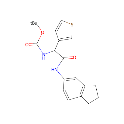 CC(C)(C)OC(=O)NC(C(=O)Nc1ccc2c(c1)CCC2)c1ccsc1